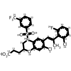 CC(=Cc1cc2c(cc1Cl)OC(CCC(=O)O)CN2S(=O)(=O)c1cccc(C(F)(F)F)c1)c1c(F)cccc1Cl